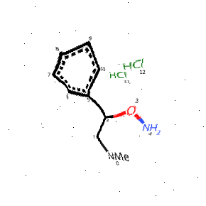 CNCC(ON)c1ccccc1.Cl.Cl